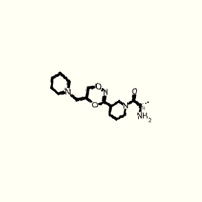 C[C@H](N)C(=O)N1CCCC(C2=NOCC(CN3CCCCC3)O2)C1